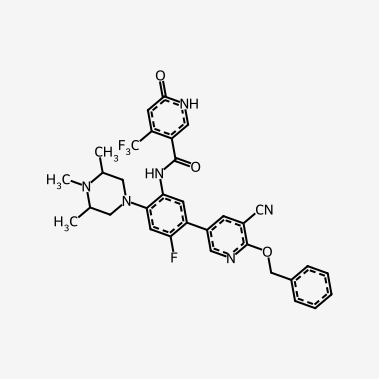 CC1CN(c2cc(F)c(-c3cnc(OCc4ccccc4)c(C#N)c3)cc2NC(=O)c2c[nH]c(=O)cc2C(F)(F)F)CC(C)N1C